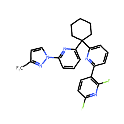 Fc1ccc(-c2cccc(C3(c4cccc(-n5ccc(C(F)(F)F)n5)n4)CCCCC3)n2)c(F)n1